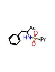 CC(=O)C(Cc1ccccc1)NS(=O)(=O)C(C)C